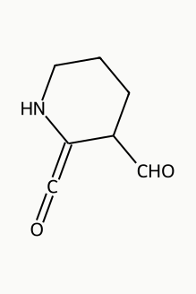 O=C=C1NCCCC1C=O